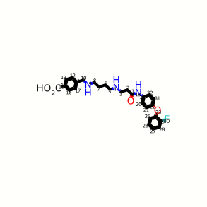 O=C(CCNCCCCNCc1ccc(C(=O)O)cc1)Nc1ccc(Oc2ccccc2F)cc1